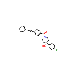 O=C(c1ccc(C#Cc2ccccc2)cc1)N1CCC(O)(c2ccc(F)cc2)CC1